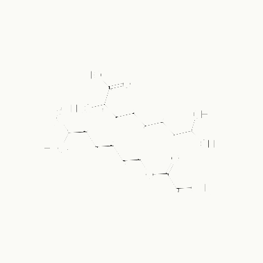 CC(C)CCCCCC(C)C(=O)O.CCC(=O)OCCCCCC(C)C